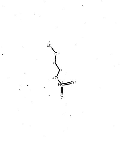 CCOCCO[SH](=O)=O